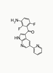 Nc1ccc(F)c(C(=O)c2c[nH]c3ncc(-c4ccccn4)cc23)c1F